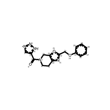 O=C(c1cnn[nH]1)N1CCc2nc(COc3ccccc3)oc2C1